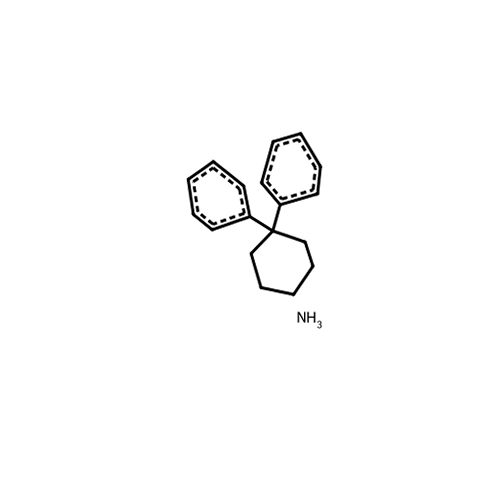 N.c1ccc(C2(c3ccccc3)CCCCC2)cc1